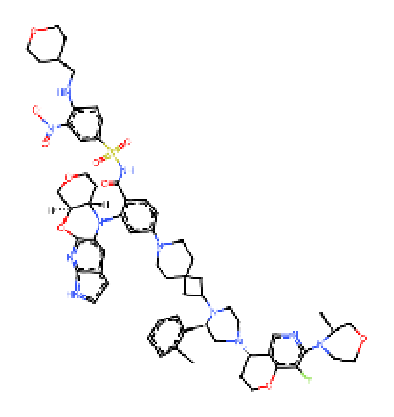 Cc1ccccc1[C@@H]1CN([C@H]2CCOc3c2cnc(N2CCOC[C@@H]2C)c3F)CCN1C1CC2(CCN(c3ccc(C(=O)NS(=O)(=O)c4ccc(NCC5CCOCC5)c([N+](=O)[O-])c4)c(N4c5cc6cc[nH]c6nc5O[C@H]5COCC[C@@H]54)c3)CC2)C1